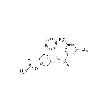 C[C@@H](OC[C@@]1(c2ccccc2)CC[C@@H](OC(N)=O)CN1)c1cc(C(F)(F)F)cc(C(F)(F)F)c1